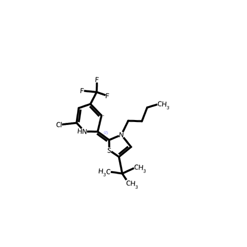 CCCCN1C=C(C(C)(C)C)S/C1=C1/[C]=C(C(F)(F)F)C=C(Cl)N1